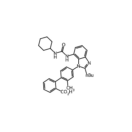 CCCCc1nc2cccc(NC(=O)NC3CCCCC3)c2n1-c1ccc(-c2ccccc2C(=O)O)c(C)c1